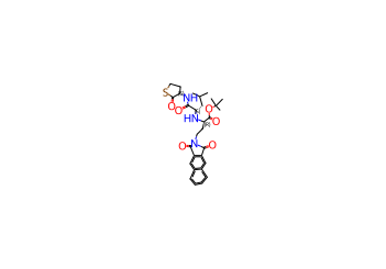 CC(C)C[C@H](N[C@H](CCN1C(=O)c2cc3ccccc3cc2C1=O)C(=O)OC(C)(C)C)C(=O)N[C@H]1CCSC1=O